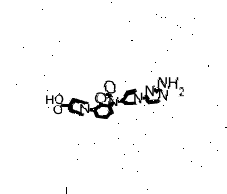 Nc1nccc(N2CCC(N3C(=O)OC4C(N5CCC(C(=O)O)CC5)CCCC43)CC2)n1